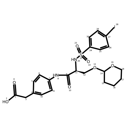 O=C(O)Cc1ccc(NC(=O)[C@H](COC2CCCCO2)NS(=O)(=O)c2ccc(I)cc2)cc1